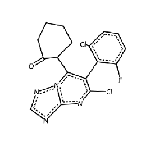 O=C1CCCCC1c1c(-c2c(F)cccc2Cl)c(Cl)nc2ncnn12